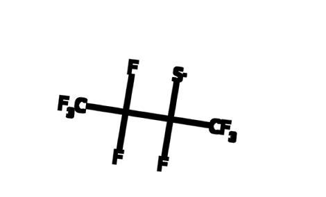 FC(F)(F)C(F)(F)C(F)([S])C(F)(F)F